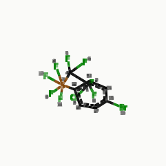 FC(F)(Cl)C(F)(F)S(F)(F)(F)(F)c1ccc(Br)cc1